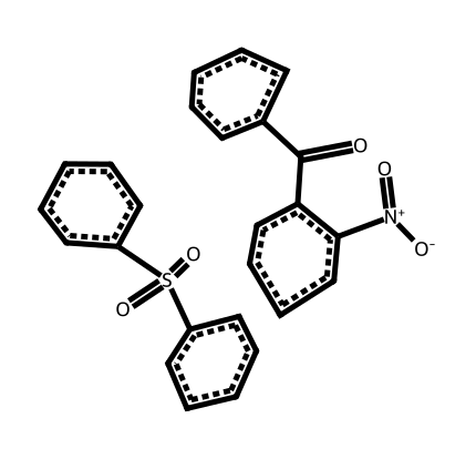 O=C(c1ccccc1)c1ccccc1[N+](=O)[O-].O=S(=O)(c1ccccc1)c1ccccc1